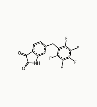 O=C1Nc2cc(Cc3c(F)c(F)c(F)c(F)c3F)ccc2C1=O